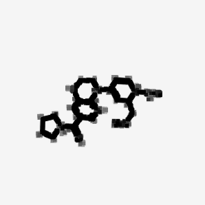 CNCC1C=C(N2CCOc3cc(C(=O)N4CCCC4)cnc32)C=CN1C=O